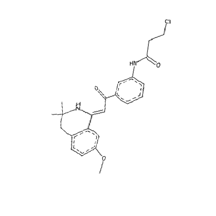 COc1ccc2c(c1)/C(=C/C(=O)c1cccc(NC(=O)CCCl)c1)NC(C)(C)C2